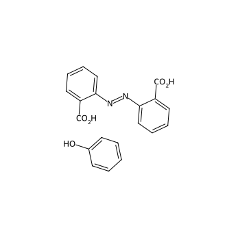 O=C(O)c1ccccc1N=Nc1ccccc1C(=O)O.Oc1ccccc1